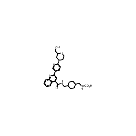 O=C(O)NCC1CCC(CNC(=O)c2cc(-c3ccc(N4CCOC(CO)C4)nc3)nc3ccccc23)CC1